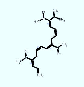 C=C/C=C(\C/C=C\C=C(/C/C=C\C=C(/C(C)N)N(C)CC)N(C)CC)N(C)CC